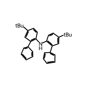 CC(C)(C)c1ccc(Nc2ccc(C(C)(C)C)cc2-c2ccccc2)c(-c2ccccc2)c1